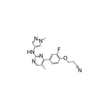 Cc1cnc(Nc2cnn(C)c2)nc1-c1ccc(OCCC#N)c(F)c1